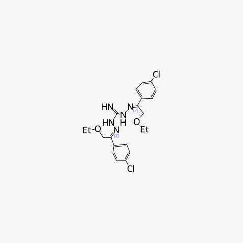 CCOC/C(=N\NC(=N)N/N=C(\COCC)c1ccc(Cl)cc1)c1ccc(Cl)cc1